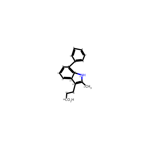 Cc1[nH]c2c(-c3ccccc3)cccc2c1CCC(=O)O